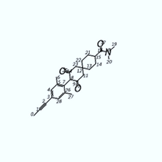 CC#Cc1cc(C)c(C2C(=O)CC3(CCC(C(=O)N(C)C)CC3)CC2=O)c(C)c1